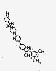 Cc1cc(-c2[nH]c3cc(-c4ccc(N5CCN(S(=O)(=O)C6CCNC6)CC5)nc4)ccc3c2C)cc(C)n1